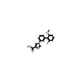 COc1cccc(F)c1-c1cccc(-n2cnc(C(=O)O)c2)c1